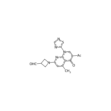 CC(=O)c1cn(-c2ncns2)c2nc(N3CC(C=O)C3)cc(C)c2c1=O